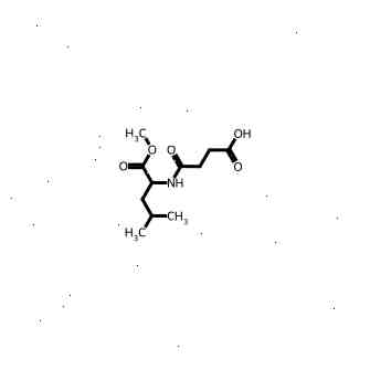 COC(=O)C(CC(C)C)NC(=O)CCC(=O)O